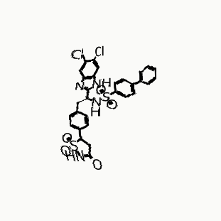 O=C1CC(c2ccc(C[C@H](NS(=O)(=O)c3ccc(-c4ccccc4)cc3)c3nc4cc(Cl)c(Cl)cc4[nH]3)cc2)S(=O)(=O)N1